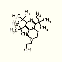 CC(C)(C)C1=NC(C(C)(C)C)C(C(C)(C)C)=C2CN(CCO)CCN12